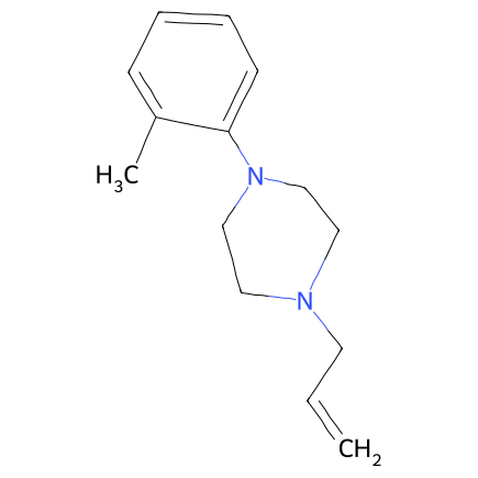 C=CCN1CCN(c2ccccc2C)CC1